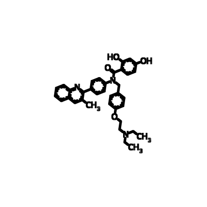 CCN(CC)CCOc1ccc(CN(C(=O)c2ccc(O)cc2O)c2ccc(-c3nc4ccccc4cc3C)cc2)cc1